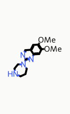 COc1cc2cnc(N3CCCNCC3)nc2cc1OC